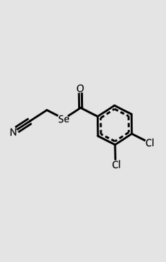 N#CC[Se]C(=O)c1ccc(Cl)c(Cl)c1